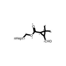 CCCCCCCCOC(=O)C1C(C=O)C1(C)C